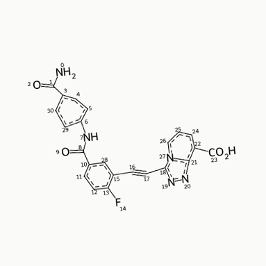 NC(=O)c1ccc(NC(=O)c2ccc(F)c(C#Cc3nnc4c(C(=O)O)cccn34)c2)cc1